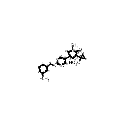 Cc1cccc(CNc2ncc(-c3cc(C4(C(=O)O)CC4)c(=O)n(C)c3)cn2)c1